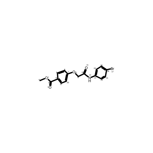 COC(=O)c1ccc(OCC(=O)Nc2ccc(Br)cc2)cc1